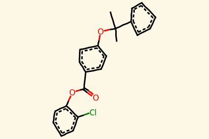 CC(C)(Oc1ccc(C(=O)Oc2ccccc2Cl)cc1)c1ccccc1